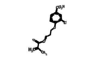 C=C(C)C(=O)OCCCOc1ccc(C(=O)O)cc1Cl